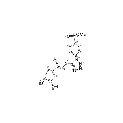 COC(=O)c1ccc(-n2nnnc2SCC(=O)c2ccc(O)c(O)c2)cc1